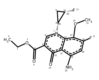 CCOC(=O)c1cn([C@@H]2C[C@@H]2F)c2c(OC)c(F)cc(N)c2c1=O